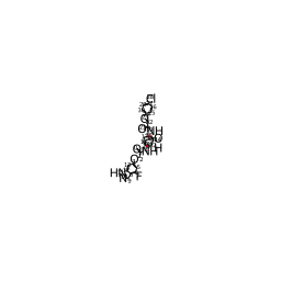 O=C(COc1cc(F)c2cn[nH]c2c1)NC12CCC(NC(=O)COc3ccc(Cl)cc3)(CC1)C(O)C2